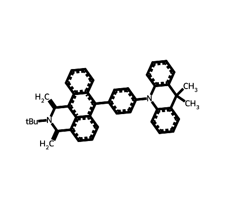 C=C1c2cccc3c(-c4ccc(N5c6ccccc6C(C)(C)c6ccccc65)cc4)c4ccccc4c(c23)C(=C)N1C(C)(C)C